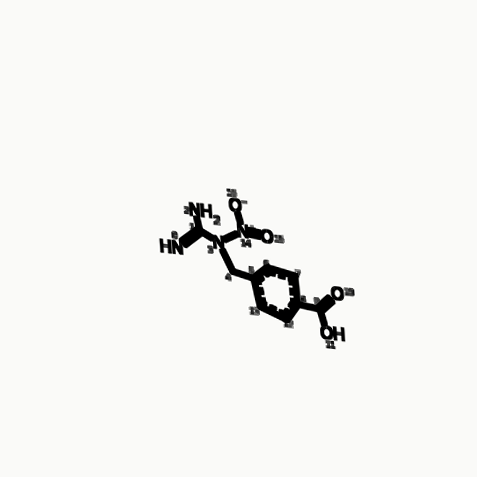 N=C(N)N(Cc1ccc(C(=O)O)cc1)[N+](=O)[O-]